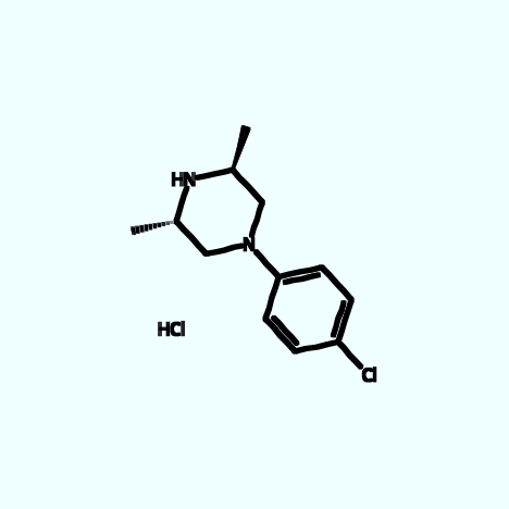 C[C@H]1CN(c2ccc(Cl)cc2)C[C@H](C)N1.Cl